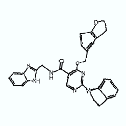 O=C(NCc1nc2ccccc2[nH]1)c1cnc(N2CCc3ccccc32)nc1OCc1ccc2c(c1)CCO2